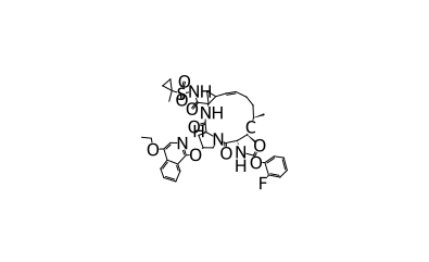 CCOc1cnc(O[C@@H]2C[C@H]3C(=O)NC4(C(=O)NS(=O)(=O)C5(C)CC5)CC4/C=C\CC[C@@H](C)C[C@@H](C)[C@H](NC(=O)Oc4ccccc4F)C(=O)N3C2)c2ccccc12